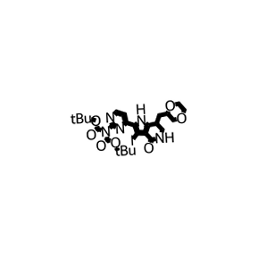 CC(C)(C)OC(=O)N(C(=O)OC(C)(C)C)c1nccc(-c2[nH]c3c(c2I)C(=O)NCC3CC2COCCO2)n1